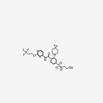 O=C(Nc1ccnc(OCCC(F)(F)F)n1)c1ccc(S(=O)(=O)NCCO)cc1N1CCC2(CC1)CC2